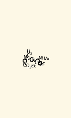 CCOC(=O)N1CCc2nc(C)n(C3CCN(C(C)C[C@H](NC(C)=O)c4cccc(F)c4)CC3)c2C1